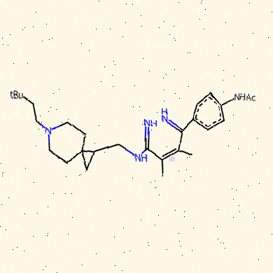 CC(=O)Nc1ccc(C(=N)/C(C)=C(/C)C(=N)NCC2CC23CCN(CCC(C)(C)C)CC3)cc1